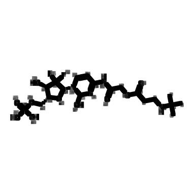 CC(C)(C)NCCC(=O)OCC(=O)NC1=NC(O)N([C@@H]2O[C@H](COP(=O)(O)O)[C@@H](O)C2(F)F)C=C1